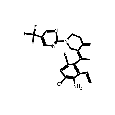 C=Cc1c(N)c(Cl)cc(F)c1/C(C)=C1\CN(c2ncc(C(F)(F)F)cn2)CCC1=C